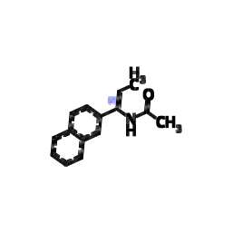 C/C=C(\NC(C)=O)c1ccc2ccccc2c1